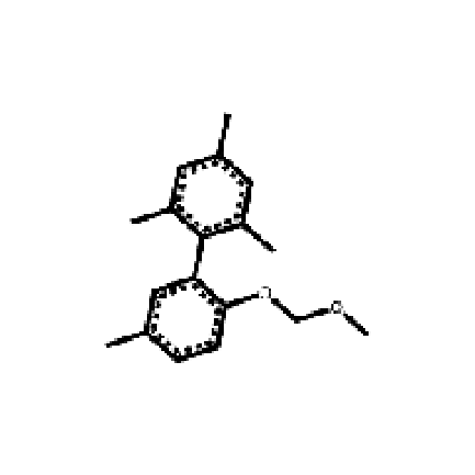 COCOc1ccc(C)cc1-c1c(C)cc(C)cc1C